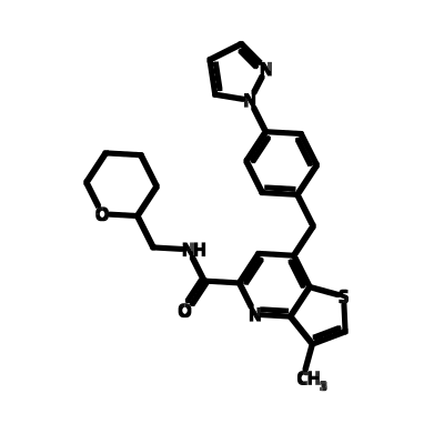 Cc1csc2c(Cc3ccc(-n4cccn4)cc3)cc(C(=O)NCC3CCCCO3)nc12